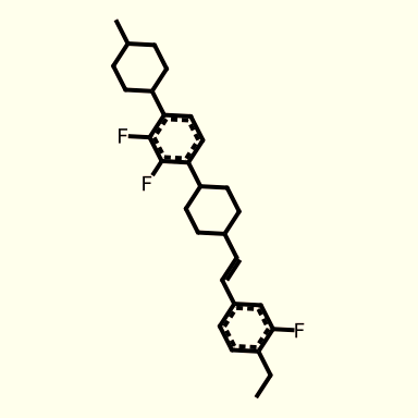 CCc1ccc(/C=C/C2CCC(c3ccc(C4CCC(C)CC4)c(F)c3F)CC2)cc1F